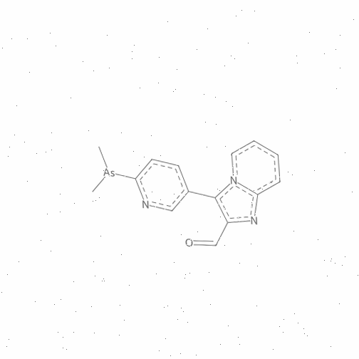 C[As](C)c1ccc(-c2c(C=O)nc3ccccn23)cn1